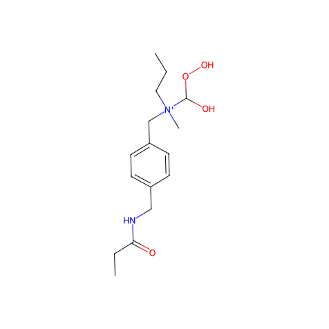 CCC[N+](C)(Cc1ccc(CNC(=O)CC)cc1)C(O)OO